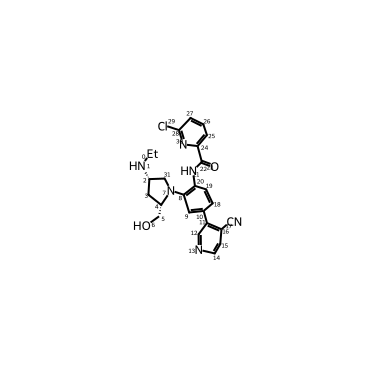 CCN[C@H]1C[C@@H](CO)N(c2cc(-c3cnccc3C#N)ccc2NC(=O)c2cccc(Cl)n2)C1